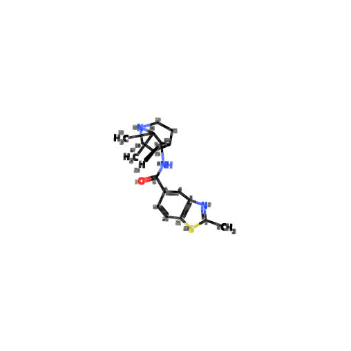 Cc1nc2cc(C(=O)N[C@H]3C4CCN(CC4)C3(C)C)ccc2s1